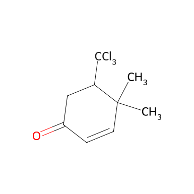 CC1(C)C=CC(=O)CC1C(Cl)(Cl)Cl